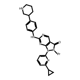 CC(C)n1c(=O)c2cnc(Nc3ccc(C4CCCNC4)cc3)nc2n1-c1cccc(C2CC2)n1